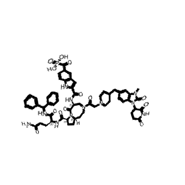 Cn1c(=O)n(C2CCC(=O)NC2=O)c2ccc(CC3CCN(CC(=O)N4CC[C@H]5CC[C@@H](C(=O)N[C@@H](CCC(N)=O)C(=O)NC(c6ccccc6)c6ccccc6)N5C(=O)[C@@H](NC(=O)c5cc6cc(C(=O)P(=O)(O)O)ccc6[nH]5)C4)CC3)cc21